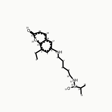 CCc1cc(NCCCCCN[S+]([O-])C(C)C)cc2ccc(=O)oc12